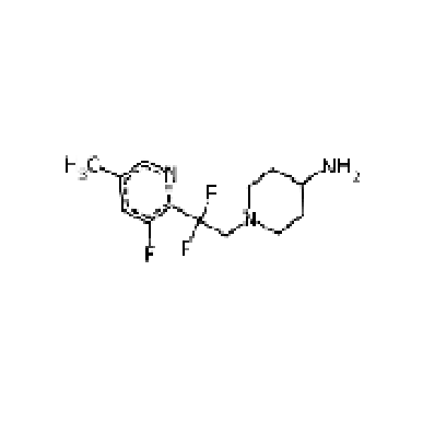 Cc1cnc(C(F)(F)CN2CCC(N)CC2)c(F)c1